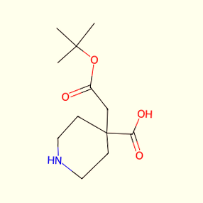 CC(C)(C)OC(=O)CC1(C(=O)O)CCNCC1